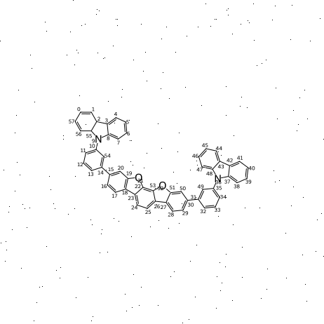 C1=CC2c3ccccc3N(c3cccc(-c4ccc5c(c4)oc4c5ccc5c6ccc(-c7cccc(-n8c9ccccc9c9ccccc98)c7)cc6oc54)c3)C2C=C1